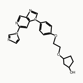 OC1CCC(OCCOc2ccc(-n3cnc4cnc(-n5ccnc5)cc43)cc2)C1